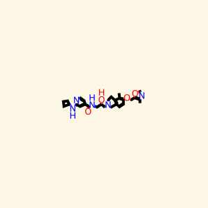 Cc1ncoc1COc1ccc2c(c1C)CCN(CC(O)CNC(=O)c1ccnc(NC3CCC3)c1)C2